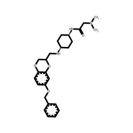 CN(C)CC(=O)N[C@H]1CC[C@@H](NCC2COc3ccc(OCc4ccccc4)cc3O2)CC1